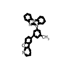 Cc1cc(-c2ccc3oc4ncccc4c3c2)cc(-n2c3ccccc3n3c4ccccc4nc23)c1